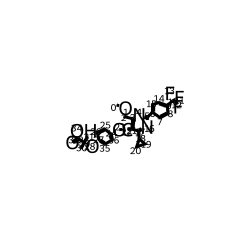 COCc1nc(-c2ccc(C(F)(F)F)cc2)nc(C2CC2)c1COc1ccc(OC(C)(C)C(=O)O)cc1